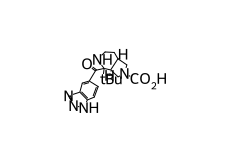 CC(C)(C)C1(C(=O)c2ccc3[nH]nnc3c2)NCC[C@@H]2CN(C(=O)O)C[C@H]21